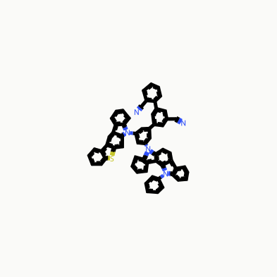 N#Cc1cc(-c2cc(-n3c4ccccc4c4cc5c(cc43)sc3ccccc35)cc(-n3c4ccccc4c4c3ccc3c5ccccc5n(-c5ccccc5)c34)c2)cc(-c2ccccc2C#N)c1